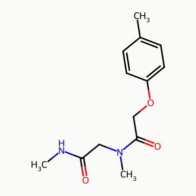 CNC(=O)CN(C)C(=O)COc1ccc(C)cc1